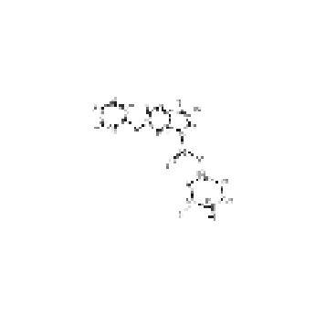 C[C@@H]1CN(CC(=O)N2CC(C)(C)c3cnc(Cc4ccccc4)cc32)CCN1